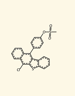 CS(=O)(=O)Oc1ccc(-c2c3ccccc3c(Cl)c3sc4ccccc4c23)cc1